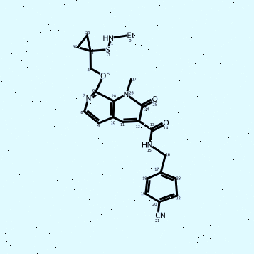 CCNSC1(COc2nccc3cc(C(=O)NCc4ccc(C#N)cc4)c(=O)n(C)c23)CC1